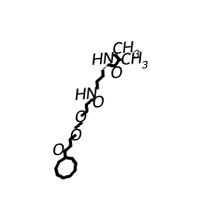 CC1N[C@@H](CCCCNC(=O)CCOCCOCCC(=O)C2CCCCCCCC2)C(=O)C1C